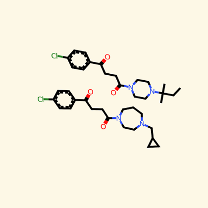 CCC(C)(C)N1CCN(C(=O)CCC(=O)c2ccc(Cl)cc2)CC1.O=C(CCC(=O)N1CCCN(CC2CC2)CC1)c1ccc(Cl)cc1